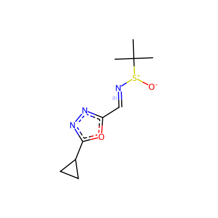 CC(C)(C)[S+]([O-])/N=C/c1nnc(C2CC2)o1